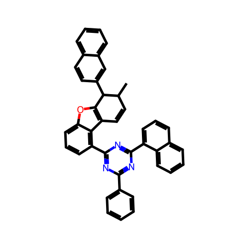 CC1C=Cc2c(oc3cccc(-c4nc(-c5ccccc5)nc(-c5cccc6ccccc56)n4)c23)C1c1ccc2ccccc2c1